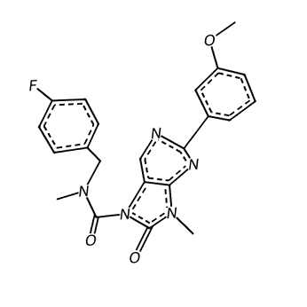 COc1cccc(-c2ncc3c(n2)n(C)c(=O)n3C(=O)N(C)Cc2ccc(F)cc2)c1